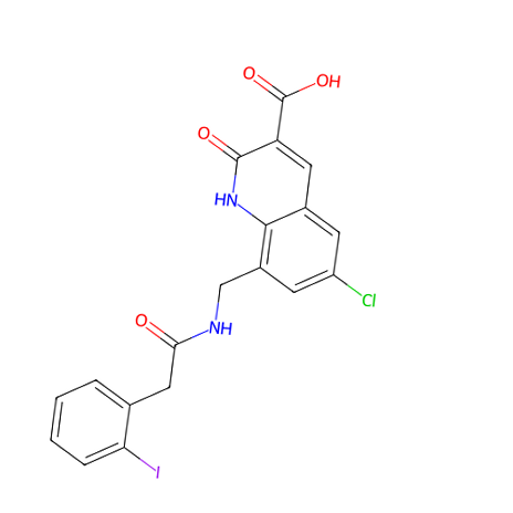 O=C(Cc1ccccc1I)NCc1cc(Cl)cc2cc(C(=O)O)c(=O)[nH]c12